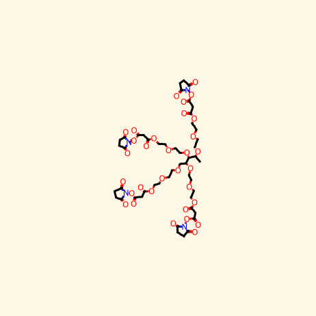 CC(OCCOCCOC(=O)CC(=O)ON1C(=O)CCC1=O)C(OCCOCCOC(=O)CC(=O)ON1C(=O)CCC1=O)C(COCCOCCOC(=O)CC(=O)ON1C(=O)CCC1=O)OCCOCCOC(=O)CC(=O)ON1C(=O)CCC1=O